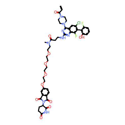 C=CC(=O)N1CCN(c2nc(NCCC(=O)N(C)CCOCCOCCOCCOc3ccc4c(c3)C(=O)N(C3CCC(=O)NC3=O)C4=O)nc3c(F)c(-c4c(O)cccc4F)c(Cl)cc23)CC1